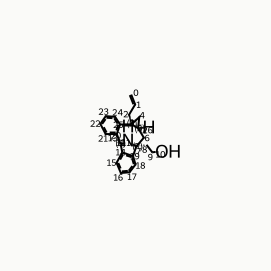 C=CC[C@@]12C[C@@H]1C[C@]1(CCO)N[C@@](C)(c3ccccc31)c1ccccc12